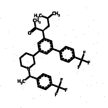 CC(=O)[C@@H](CC(C)C)c1cc(-c2ccc(C(F)(F)F)cc2)cc(C2CCCN(C(C)c3ccc(C(F)(F)F)cc3)C2)c1